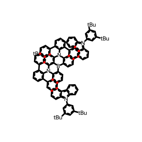 CC(C)(C)c1cc(-n2c3ccccc3c3c(-c4ccc5c(c4)N(c4c(-c6ccccc6)cccc4-c4ccccc4)c4cc(C(C)(C)C)cc6c4B5c4ccc(-c5cccc7c5c5ccccc5n7-c5cc(C(C)(C)C)cc(C(C)(C)C)c5)cc4N6c4c(-c5ccccc5)cccc4-c4ccccc4)cccc32)cc(C(C)(C)C)c1